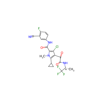 C[C@@H](NC(=O)C(=O)c1c(Cl)c(C(=O)Nc2ccc(F)c(C#N)c2)n(C)c1C1CC1)C(F)(F)F